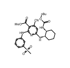 CCCCOC(=O)N[C@H]1CCCC[C@H]1Nc1cc(C#N)c(C(=O)OC)c(Nc2cccc(S(C)(=O)=O)c2)n1